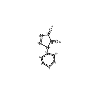 O=C1N=NN(c2ccccc2)C1=O